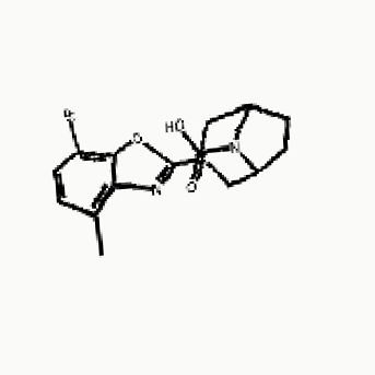 Cc1ccc(Br)c2oc(N3CC4CCC(C3)N4C(=O)O)nc12